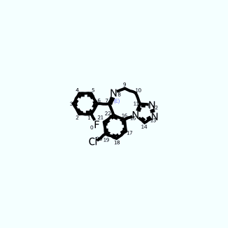 Fc1ccccc1/C1=N/CCc2nncn2-c2ccc(Cl)cc21